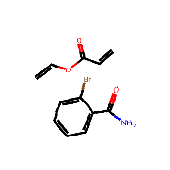 C=COC(=O)C=C.NC(=O)c1ccccc1Br